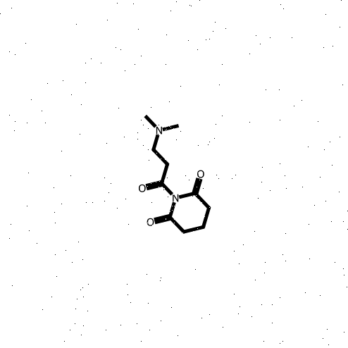 CN(C)CCC(=O)N1C(=O)CCCC1=O